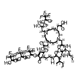 CCC(C)[C@H](NC(=O)[C@H](CCSC)NC(=O)CN1CCN(CC(=O)O)CCN(CC(=O)O)CCN(CC(=O)O)CC1)C(=O)NCCN1C(=O)C=CC1=O.O=C(O)C(F)(F)F.O=C(O)C(F)(F)F.O=C(O)C(F)(F)F.O=C(O)C(F)(F)F